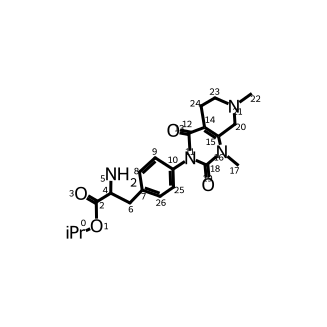 CC(C)OC(=O)C(N)Cc1ccc(-n2c(=O)c3c(n(C)c2=O)CN(C)CC3)cc1